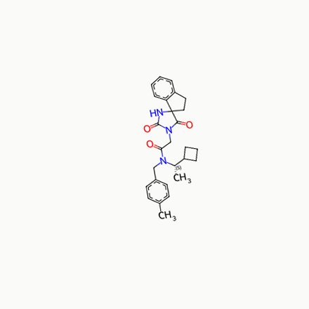 Cc1ccc(CN(C(=O)CN2C(=O)NC3(CCc4ccccc43)C2=O)[C@@H](C)C2CCC2)cc1